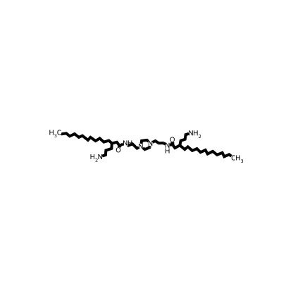 CCCCCCCCCCCCCC(CCCN)CC(=O)NCCCN1CCN(CCCNC(=O)CC(CCCN)CCCCCCCCCCCCC)CC1